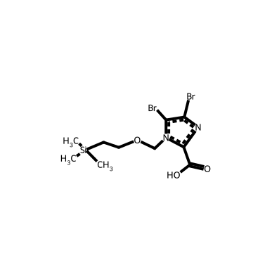 C[Si](C)(C)CCOCn1c(C(=O)O)nc(Br)c1Br